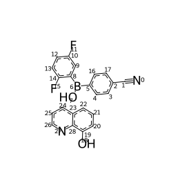 N#Cc1ccc(B(O)c2cc(F)ccc2F)cc1.Oc1cccc2cccnc12